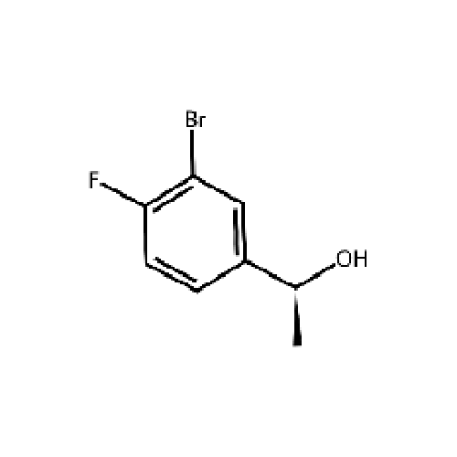 C[C@H](O)c1ccc(F)c(Br)c1